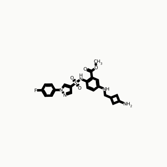 COC(=O)c1cc(NCC2CC(N)C2)ccc1NS(=O)(=O)c1cnn(-c2ccc(F)cc2)c1